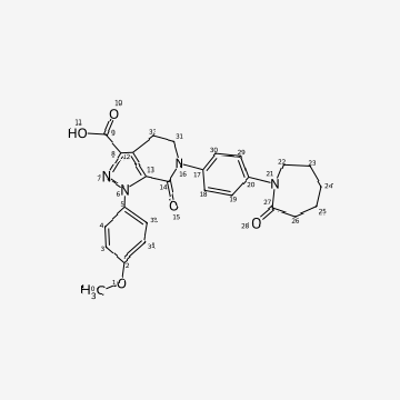 COc1ccc(-n2nc(C(=O)O)c3c2C(=O)N(c2ccc(N4CCCCCC4=O)cc2)CC3)cc1